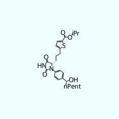 CCCCC[C@H](O)c1ccc(N2C(=O)NC(=O)[C@@H]2CCCc2ccc(C(=O)OC(C)C)s2)cc1